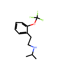 CC(C)NCCc1ccccc1OC(F)(F)F